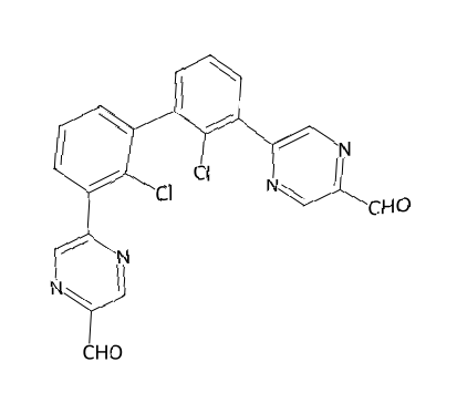 O=Cc1cnc(-c2cccc(-c3cccc(-c4cnc(C=O)cn4)c3Cl)c2Cl)cn1